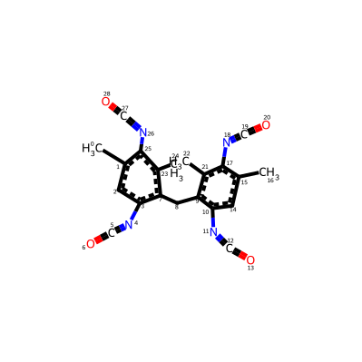 Cc1cc(N=C=O)c(Cc2c(N=C=O)cc(C)c(N=C=O)c2C)c(C)c1N=C=O